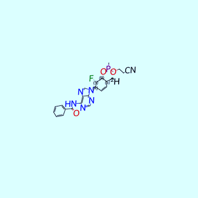 [2H]C[C@H]1C=C[C@@H](n2cnc3c(NC(=O)c4ccccc4)ncnc32)[C@H](F)[C@@H]1OP(C)OCCC#N